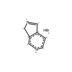 Br.C1=NCc2cnccc21